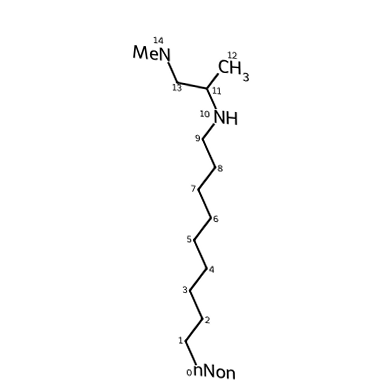 CCCCCCCCCCCCCCCCCCNC(C)CNC